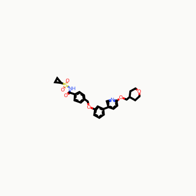 O=C(NS(=O)(=O)C1CC1)c1ccc(COc2cccc(-c3ccc(OCC4CCOCC4)nc3)c2)cc1